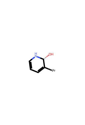 CC(C)C1=CC=CN[C@@H]1O